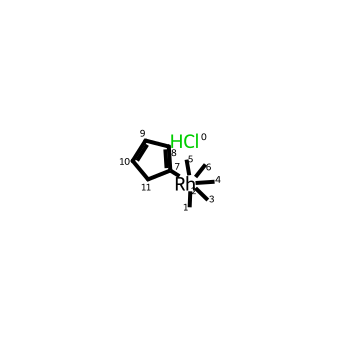 Cl.[CH3][Rh]([CH3])([CH3])([CH3])([CH3])[C]1=CC=CC1